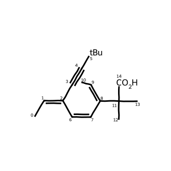 C\C=C(C#CC(C)(C)C)/C=C\C(=C/C)C(C)(C)C(=O)O